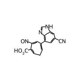 N#Cc1cc(C2=CCC=C(C(=O)O)C(N=O)=C2)c2nc[nH]c2c1